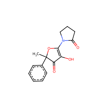 CC1(c2ccccc2)OC(N2CCCC2=O)=C(O)C1=O